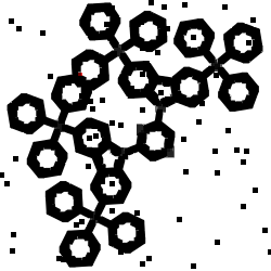 c1ccc([Si](c2ccccc2)(c2ccccc2)c2ccc3c(c2)c2cc([Si](c4ccccc4)(c4ccccc4)c4ccccc4)ccc2n3-c2cncc(-n3c4ccc([Si](c5ccccc5)(c5ccccc5)c5ccccc5)cc4c4cc([Si](c5ccccc5)(c5ccccc5)c5ccccc5)ccc43)n2)cc1